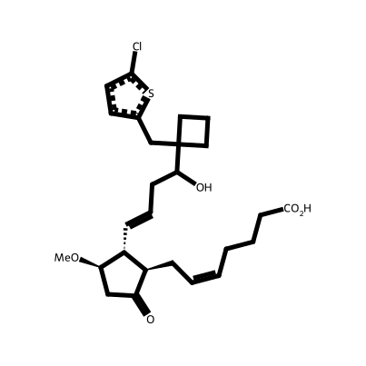 CO[C@@H]1CC(=O)[C@H](C/C=C\CCCC(=O)O)[C@H]1/C=C/CC(O)C1(Cc2ccc(Cl)s2)CCC1